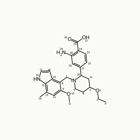 CCOC1CCN(Cc2c(OC)cc(C)c3[nH]ccc23)C(c2ccc(C(=O)O)c(N)c2)C1